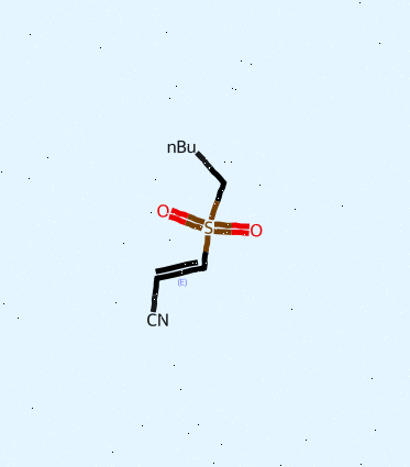 CCCCCS(=O)(=O)/C=C/C#N